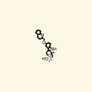 CC1(CC(=O)O)OCCc2c1[nH]c1ccc(OCc3ccc4ccccc4n3)cc21